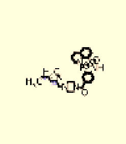 C=N/C(=C\C=C/C)CN1CCN(C(=O)c2ccc(NS(=O)(=O)c3cccc4cccnc34)c(F)c2)CC1